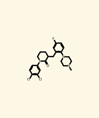 CN1CCN(c2ccc(F)cc2CC2CCCN(c3ccc(Cl)c(Cl)c3)C2=O)CC1